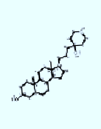 CC12CC[C@H](O)CC1CCC1C2CC[C@@]2(C)C1CC[C@@H]2CCCC1(O)CCOCC1